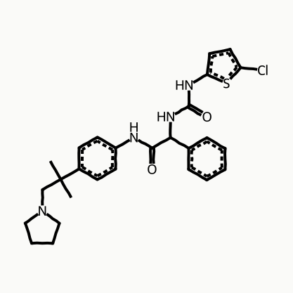 CC(C)(CN1CCCC1)c1ccc(NC(=O)C(NC(=O)Nc2ccc(Cl)s2)c2ccccc2)cc1